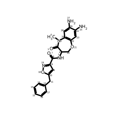 CN1C(=O)C(NC(=O)c2cc(Cc3ccccc3)on2)COc2cc(N)c(N)cc21